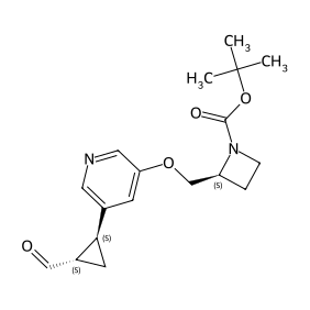 CC(C)(C)OC(=O)N1CC[C@H]1COc1cncc([C@H]2C[C@@H]2C=O)c1